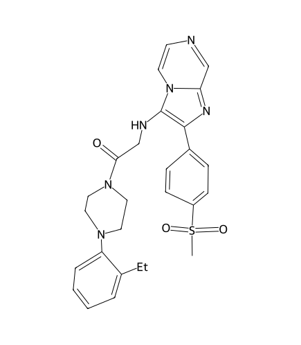 CCc1ccccc1N1CCN(C(=O)CNc2c(-c3ccc(S(C)(=O)=O)cc3)nc3cnccn23)CC1